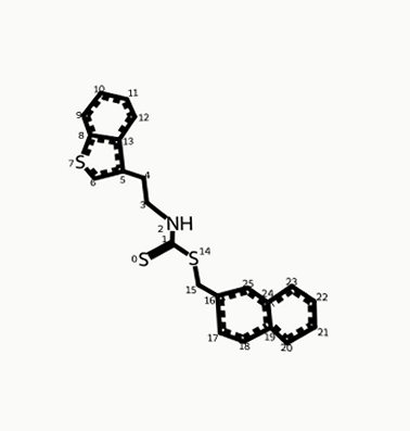 S=C(NCCc1csc2ccccc12)SCc1ccc2ccccc2c1